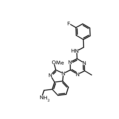 COc1nc2c(CN)cccc2n1-c1nc(C)nc(NCc2cccc(F)c2)n1